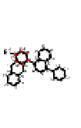 Brc1ccc(-c2ccc(-c3ccccc3)c3ccccc23)c2c1C1c3ccccc3C2c2ccccc21